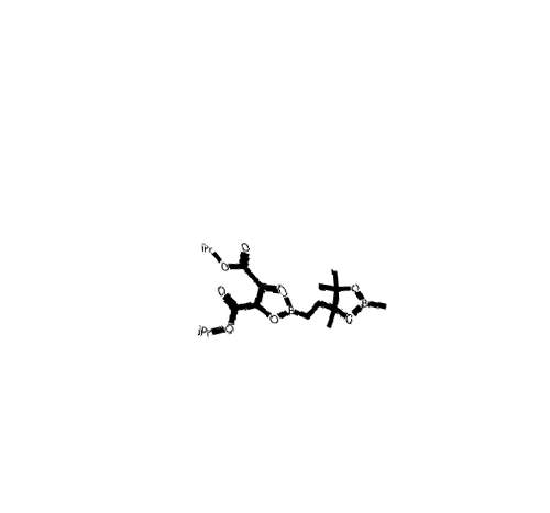 CB1OC(C)(C)C(C)(CCB2OC(C(=O)OC(C)C)C(C(=O)OC(C)C)O2)O1